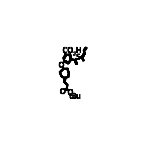 C=C/C=C(/C)SC(=C)c1cc(OC2CCC/C(=C\CC(=O)OC(C)(C)C)CC2)cc(C(=O)O)c1